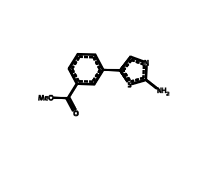 COC(=O)c1cccc(-c2cnc(N)s2)c1